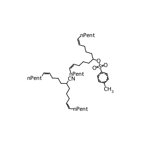 CCCCC/C=C\CCCC(C#N)CCC/C=C\CCCCC.CCCCC/C=C\CCCC(CCC/C=C\CCCCC)OS(=O)(=O)c1ccc(C)cc1